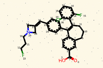 O=C(O)c1ccc2c(c1)CCCC(c1c(F)cccc1Cl)=C2c1ccc(C=C2CN(CCCF)C2)cc1